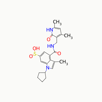 Cc1cc(C)c(CNC(=O)c2cc(S(=O)O)cc3c2c(C)cn3C2CCCC2)c(=O)[nH]1